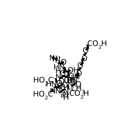 CC(C)[C@H](NC(=O)[C@H](CCC(=O)O)NC(=O)[C@H](CC(=O)O)NC(=O)C1OC(CNC(=O)CN=[N+]=[N-])C(O)C(O)C1O)C(=O)N[C@@H](CC(=O)O)C(=O)N[C@@H](C)C(=O)NCCOCCOCCOCCOCCC(=O)O